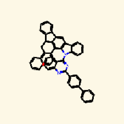 c1ccc(-c2ccc(-c3nc(-n4c5ccccc5c5cc6c7c(c54)-c4ccc5ccccc5c4CC7c4ccccc4-6)c4ccccc4n3)cc2)cc1